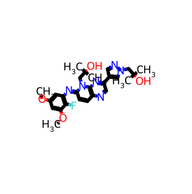 COc1cc(/N=c2\ccc3ncc(-c4cnn(CC(C)(C)O)c4)nc3n2CC(C)(C)O)c(F)c(OC)c1